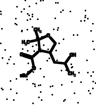 CCCCOC(=O)N1C(CC(C)O)COC1(C)C